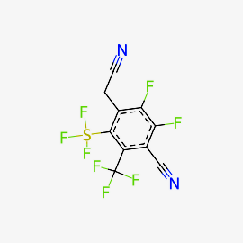 N#CCc1c(F)c(F)c(C#N)c(C(F)(F)F)c1S(F)(F)F